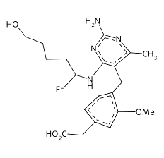 CCC(CCCCO)Nc1nc(N)nc(C)c1Cc1ccc(CC(=O)O)cc1OC